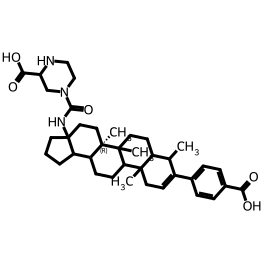 CC1C(c2ccc(C(=O)O)cc2)=CCC2(C)C1CCC1(C)C2CCC2C3CCCC3(NC(=O)N3CCNC(C(=O)O)C3)CC[C@]21C